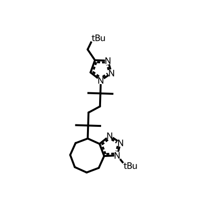 CC(C)(C)Cc1cn(C(C)(C)CCC(C)(C)C2CCCCCc3c2nnn3C(C)(C)C)nn1